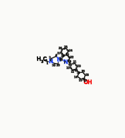 CCN1CCN(c2nc(-c3ccc(C4CCC(O)CC4)cc3)cc3ccccc23)CC1